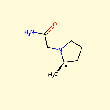 C[C@@H]1CCCN1CC(N)=O